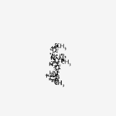 COc1ccc(Cn2cc3c(N4CCCC4C)cc(-c4ccc(CNC(=O)c5cc(F)ccc5OC)cc4)c(C#N)c3n2)cc1